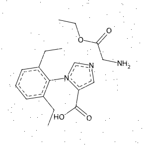 CCOC(=O)CN.CCc1cccc(CC)c1-n1cncc1C(=O)O